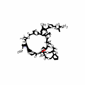 C=C(NC(=O)c1csc(-c2nc3c(cc2O)-c2nc(cs2)C(=O)N[C@@H]([C@@H](C)O)C(=O)N/C(=C(\C)OC)c2nc(cs2)C(=O)N[C@@H]2c4nc(cs4)C(=O)N[C@@H](COC(=O)c4[nH]c5cccc6c5c4CO[C@@H]2[C@H](O)C(=O)OC6)c2nc-3cs2)n1)C(N)=O